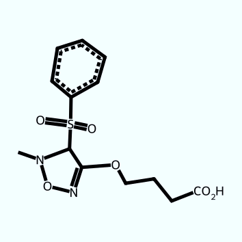 CN1ON=C(OCCCC(=O)O)C1S(=O)(=O)c1ccccc1